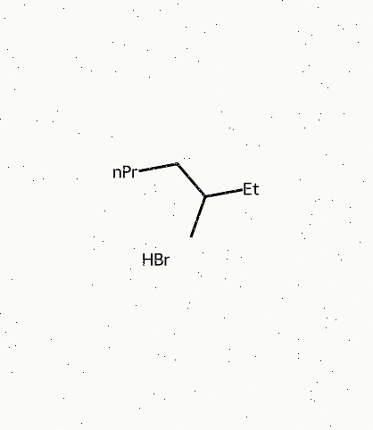 Br.CCCCC(C)CC